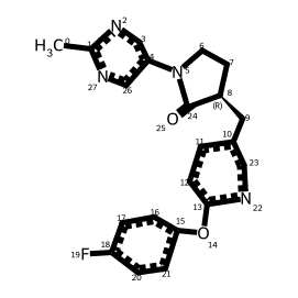 Cc1ncc(N2CC[C@@H](Cc3ccc(Oc4ccc(F)cc4)nc3)C2=O)cn1